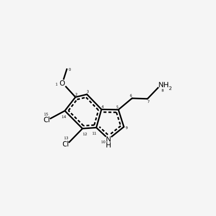 COc1cc2c(CCN)c[nH]c2c(Cl)c1Cl